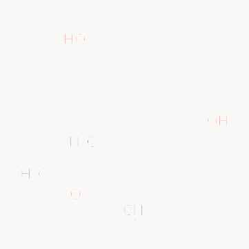 COC(C)(C)Cc1cc(O)ccc1O